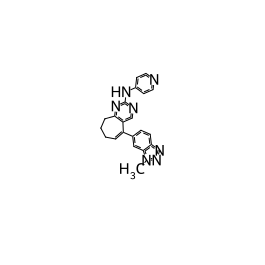 Cn1nnc2ccc(C3=CCCCc4nc(Nc5ccncc5)ncc43)cc21